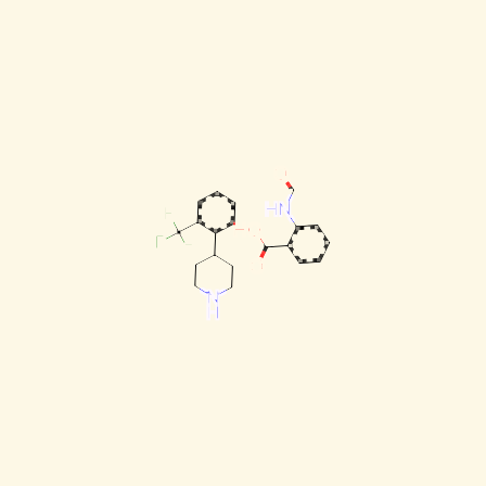 FC(F)(F)c1ccccc1C1CCNCC1.O=CNc1ccccc1C(=O)O